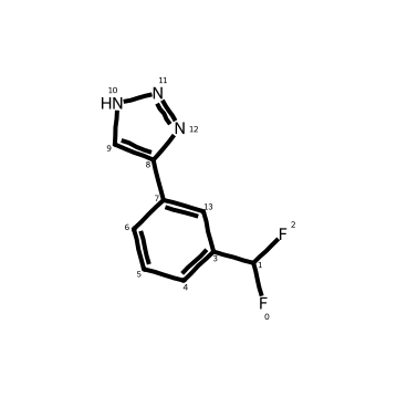 FC(F)c1cccc(-c2c[nH]nn2)c1